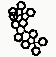 c1ccc(-c2ccc(-c3ccccc3N(c3ccc4c(c3)-c3ccccc3C43c4ccccc4-c4ccccc43)c3cccc4c3-c3ccccc3C4(c3ccccc3)c3ccccc3)cc2)cc1